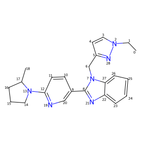 CCn1ccc(Cn2c(-c3ccc(N4CCCC4C)nc3)nc3ccccc32)n1